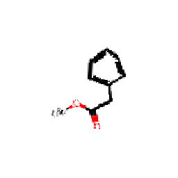 CC(C)(C)OC(=O)[CH]c1ccccc1